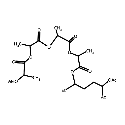 CCC(CCC(OC(C)=O)C(C)=O)OC(=O)C(C)OC(=O)C(C)OC(=O)C(C)OC(=O)C(C)OC